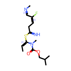 C/C=C(/SC(=N)C/C=C(F)\C=N/C)N(C)C(=O)OCC(C)C